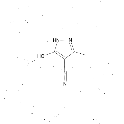 Cc1n[nH]c(O)c1C#N